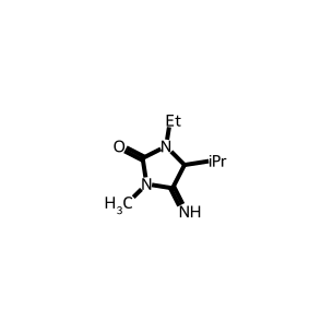 CCN1C(=O)N(C)C(=N)C1C(C)C